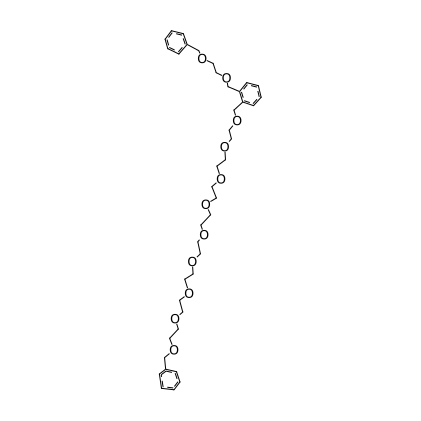 c1ccc(COCCOCCOCCOCCOCCOCCOCCOCCOCc2ccccc2COCCOCc2ccccc2)cc1